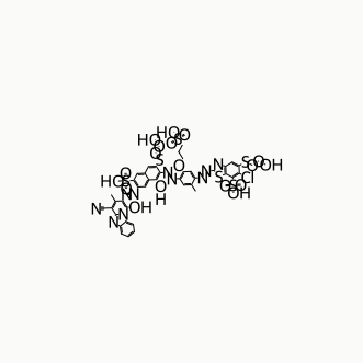 Cc1cc(N=Nc2c(SOOO)cc3cc(S(=O)(=O)O)c(N=Nc4c(C)c(C#N)c5nc6ccccc6n5c4O)cc3c2O)c(OCCCS(=O)(=O)O)cc1N=Nc1nc2cc(SOOO)c(Cl)c(S(=O)(=O)O)c2s1